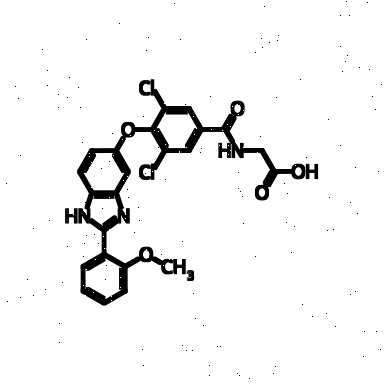 COc1ccccc1-c1nc2cc(Oc3c(Cl)cc(C(=O)NCC(=O)O)cc3Cl)ccc2[nH]1